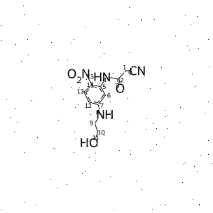 N#CCC(=O)Nc1cc(NCCO)ccc1[N+](=O)[O-]